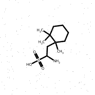 CC1(C)CCCCC1(C)CC(N)S(=O)(=O)O